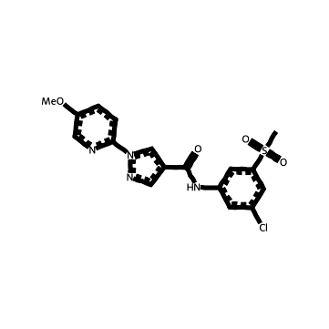 COc1ccc(-n2cc(C(=O)Nc3cc(Cl)cc(S(C)(=O)=O)c3)cn2)nc1